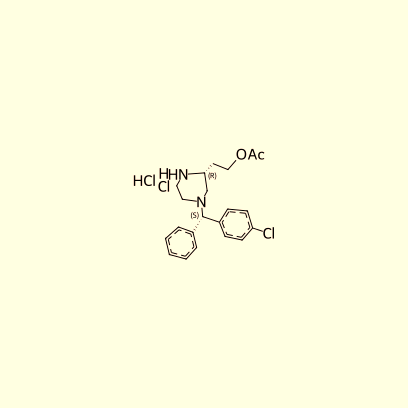 CC(=O)OCC[C@@H]1CN([C@@H](c2ccccc2)c2ccc(Cl)cc2)CCN1.Cl.Cl